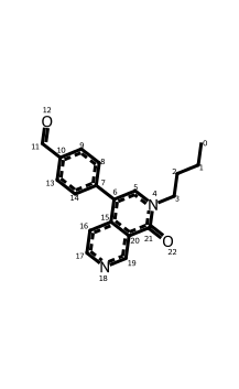 CCCCn1cc(-c2ccc(C=O)cc2)c2ccncc2c1=O